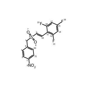 O=[N+]([O-])c1ccc(CS(=O)(=O)C=Cc2c(F)cc(F)cc2F)cc1